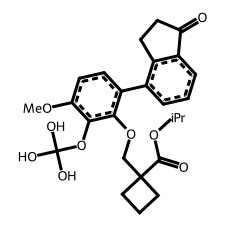 COc1ccc(-c2cccc3c2CCC3=O)c(OCC2(C(=O)OC(C)C)CCC2)c1OC(O)(O)O